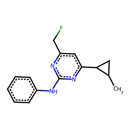 CC1CC1c1cc(CF)nc(Nc2ccccc2)n1